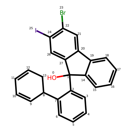 OC1(c2ccccc2C2C=CC=CC2)c2ccccc2-c2cc(Br)c(I)cc21